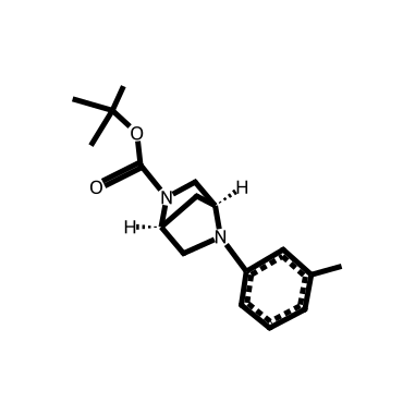 Cc1cccc(N2C[C@@H]3C[C@H]2CN3C(=O)OC(C)(C)C)c1